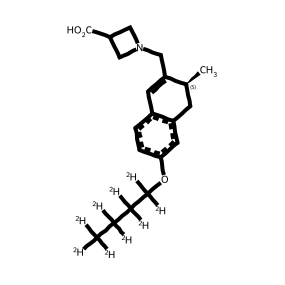 [2H]C([2H])([2H])C([2H])([2H])C([2H])([2H])C([2H])([2H])Oc1ccc2c(c1)C[C@H](C)C(CN1CC(C(=O)O)C1)=C2